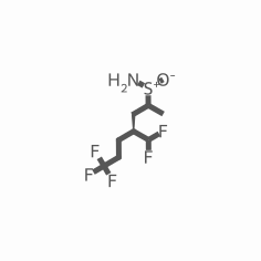 CC(C[C@H](CCC(F)(F)F)C(F)F)[S+](N)[O-]